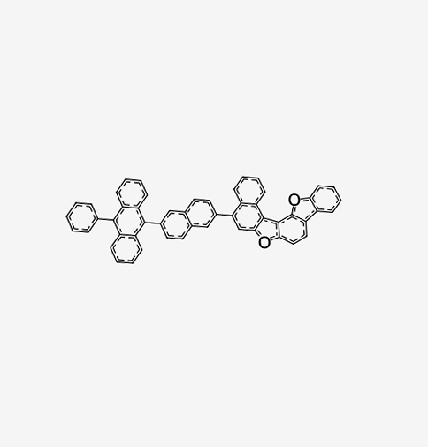 c1ccc(-c2c3ccccc3c(-c3ccc4cc(-c5cc6oc7ccc8c9ccccc9oc8c7c6c6ccccc56)ccc4c3)c3ccccc23)cc1